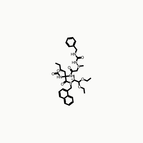 CCCCC(NC(=O)O)(NC(=O)CN(C)NC(=O)NCc1ccccc1)C(=O)N(Cc1cccc2ccccc12)[C@@H](C)C(OCC)OCC